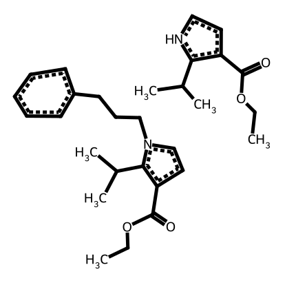 CCOC(=O)c1cc[nH]c1C(C)C.CCOC(=O)c1ccn(CCCc2ccccc2)c1C(C)C